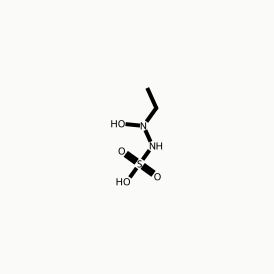 CCN(O)NS(=O)(=O)O